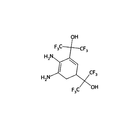 NC1=C(N)C(C(O)(C(F)(F)F)C(F)(F)F)=CC(C(O)(C(F)(F)F)C(F)(F)F)C1